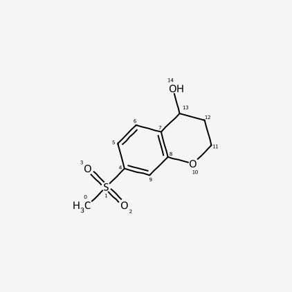 CS(=O)(=O)c1ccc2c(c1)OCCC2O